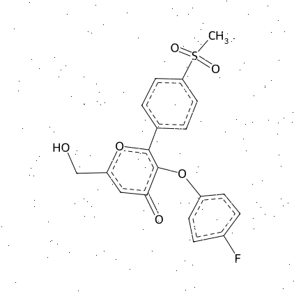 CS(=O)(=O)c1ccc(-c2oc(CO)cc(=O)c2Oc2ccc(F)cc2)cc1